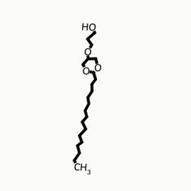 CCCCCCCCCCCCCCCC1OCC(OCCCO)CO1